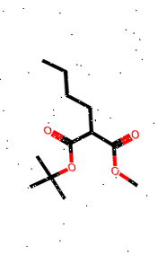 CCCCC(C(=O)OC)C(=O)OC(C)(C)C